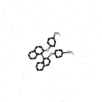 Nc1ccc(Oc2ccc3ccccc3c2-c2c(Oc3ccc(N)cc3)ccc3ccccc23)cc1